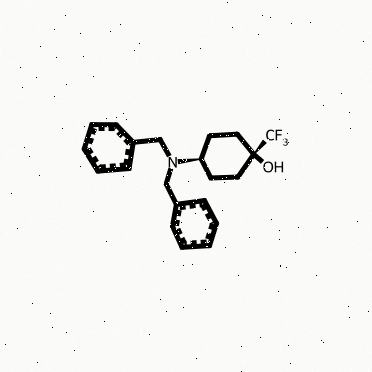 O[C@]1(C(F)(F)F)CC[C@@H](N(Cc2ccccc2)Cc2ccccc2)CC1